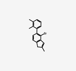 CC1=Cc2c(ccc(-c3cccc(C)c3C)c2Br)C1